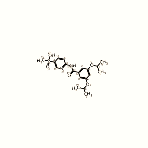 CC(C)Oc1cc(OC(C)C)cc(C(=O)Nc2ccc(P(C)(=O)O)cn2)c1